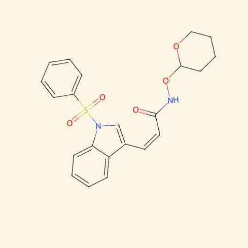 O=C(/C=C\c1cn(S(=O)(=O)c2ccccc2)c2ccccc12)NOC1CCCCO1